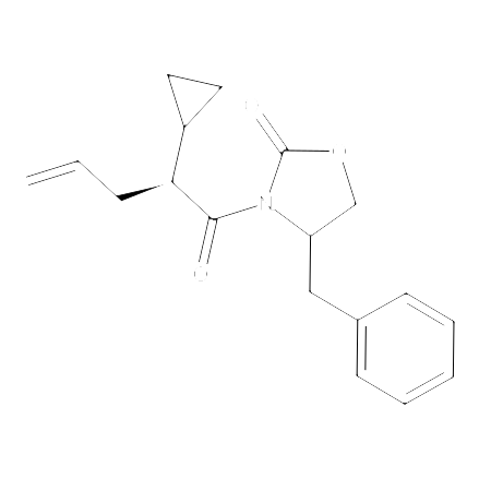 C=CC[C@H](C(=O)N1C(=O)OCC1Cc1ccccc1)C1CC1